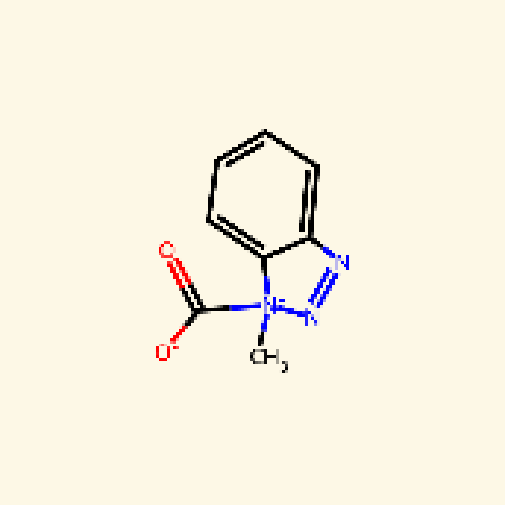 C[N+]1(C(=O)[O-])N=Nc2ccccc21